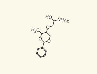 CC(=O)NC(O)COC1COC(c2ccccc2)OC1C